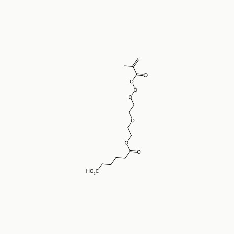 C=C(C)C(=O)OOOCCOCCOC(=O)CCCCC(=O)O